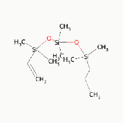 C=C[Si](C)(C)O[Si](C)(C)O[Si](C)(C)CCC